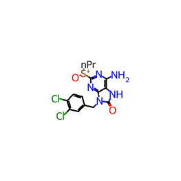 CCC[S+]([O-])c1nc(N)c2[nH]c(=O)n(Cc3ccc(Cl)c(Cl)c3)c2n1